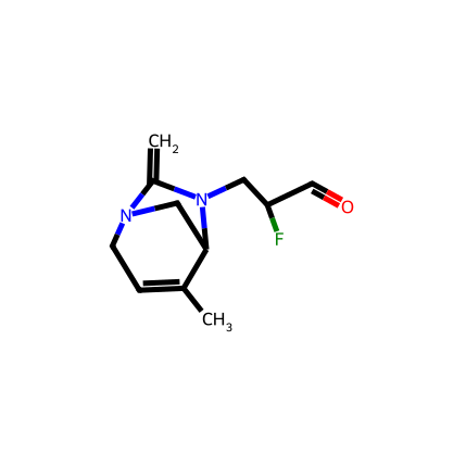 C=C1N2CC=C(C)C(C2)N1CC(F)C=O